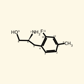 Cc1ccc(C[C@H](N)CO)c(F)c1